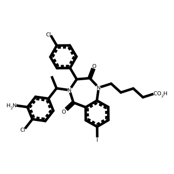 CC(c1ccc(Cl)c(N)c1)N1C(=O)c2cc(I)ccc2N(CCCCC(=O)O)C(=O)C1c1ccc(Cl)cc1